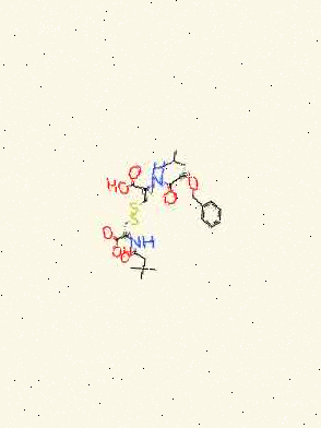 CC(C)C[C@H](OCc1ccccc1)C(=O)N[C@@H](CSSC[C@H](NC(=O)CC(C)(C)C)C(=O)O)C(=O)O